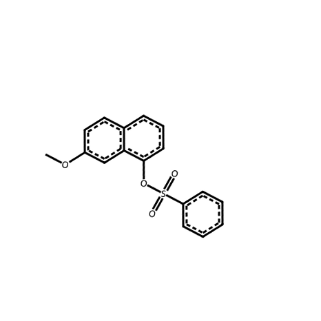 COc1ccc2cccc(OS(=O)(=O)c3ccccc3)c2c1